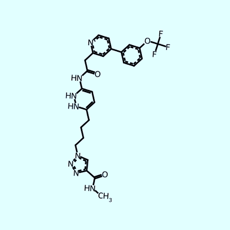 CNC(=O)c1cn(CCCCC2=CC=C(NC(=O)Cc3cc(-c4cccc(OC(F)(F)F)c4)ccn3)NN2)nn1